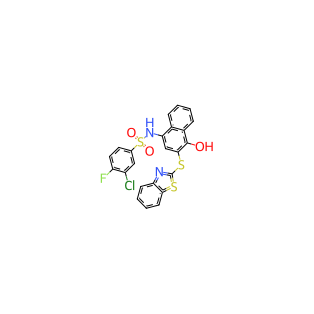 O=S(=O)(Nc1cc(Sc2nc3ccccc3s2)c(O)c2ccccc12)c1ccc(F)c(Cl)c1